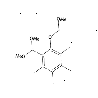 COCOc1c(C)c(C)c(C)c(C)c1C(OC)OC